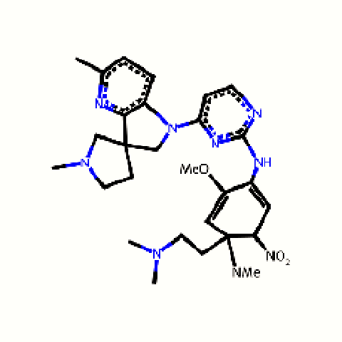 CNC1(CCN(C)C)C=C(OC)C(Nc2nccc(N3CC4(CCN(C)C4)c4nc(C)ccc43)n2)=CC1[N+](=O)[O-]